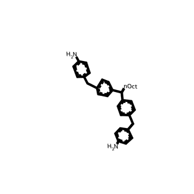 CCCCCCCCC(c1ccc(Cc2ccc(N)cc2)cc1)c1ccc(Cc2ccc(N)cc2)cc1